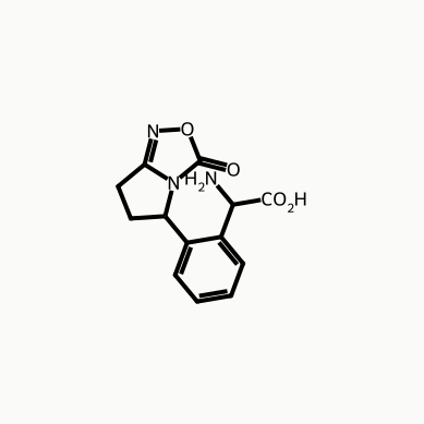 NC(C(=O)O)c1ccccc1C1CCc2noc(=O)n21